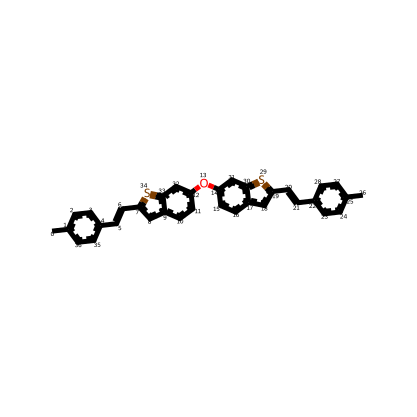 Cc1ccc(/C=C/c2cc3ccc(Oc4ccc5cc(/C=C/c6ccc(C)cc6)sc5c4)cc3s2)cc1